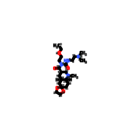 CCOCCN(C(=O)NCCN(C)C)C(=O)[C@@H]1C[C@@H]2CC3(CC[C@H]2N(C)C1)OCCO3